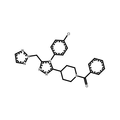 O=C(c1ccccc1)N1CCC(c2nnc(Cn3nccn3)n2-c2ccc(Cl)cc2)CC1